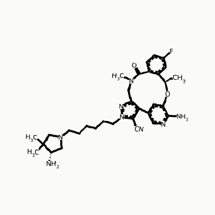 C[C@H]1Oc2cc(cnc2N)-c2c(nn(CCCCCCN3C[C@H](N)C(C)(C)C3)c2C#N)CN(C)C(=O)c2ccc(F)cc21